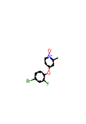 Cc1cc(Oc2ccc(Br)cc2F)cc[n+]1[O-]